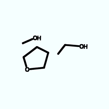 C1CCOC1.CCO.CO